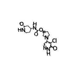 O=C1CC(NC(=O)O[C@@H]2CCN(c3cn[nH]c(=O)c3Cl)C2)CCN1